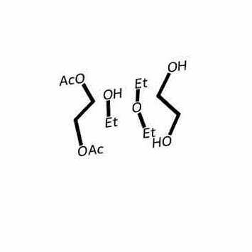 CC(=O)OCCOC(C)=O.CCO.CCOCC.OCCO